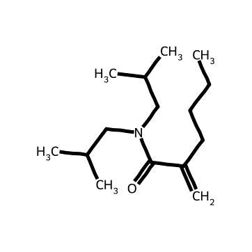 C=C(CCCC)C(=O)N(CC(C)C)CC(C)C